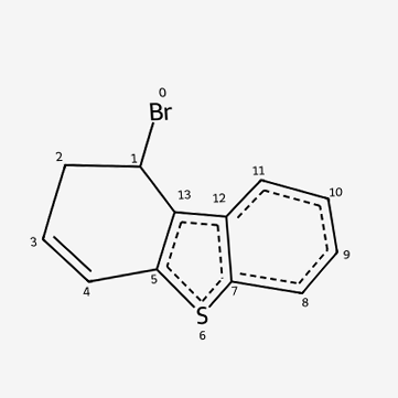 BrC1CC=Cc2sc3ccccc3c21